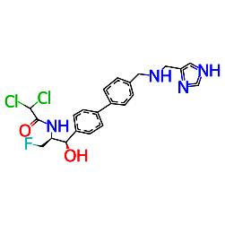 O=C(N[C@H](CF)[C@H](O)c1ccc(-c2ccc(CNCc3c[nH]cn3)cc2)cc1)C(Cl)Cl